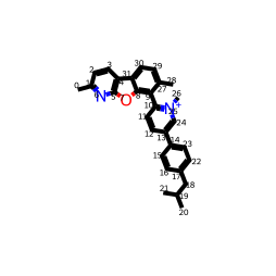 Cc1ccc2c(n1)oc1c(-c3ccc(-c4ccc(CC(C)C)cc4)c[n+]3C)c(C)ccc12